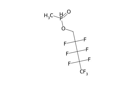 C[PH](=O)OCC(F)(F)C(F)(F)C(F)(F)C(F)(F)F